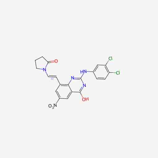 O=C1CCCN1/C=C/c1cc([N+](=O)[O-])cc2c(O)nc(Nc3ccc(Cl)c(Cl)c3)nc12